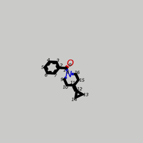 O=C(c1ccccc1)N1CCC(=C2CC2)CC1